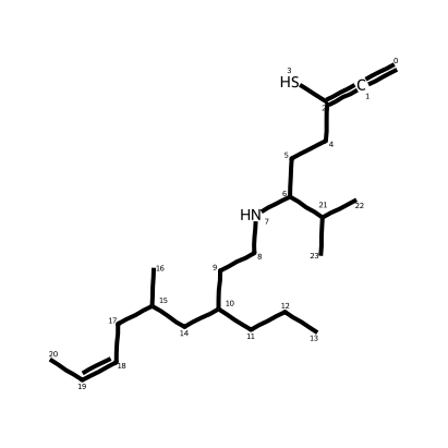 C=C=C(S)CCC(NCCC(CCC)CC(C)C/C=C\C)C(C)C